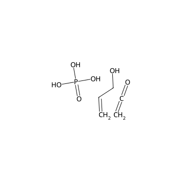 C=C=O.C=CCO.O=P(O)(O)O